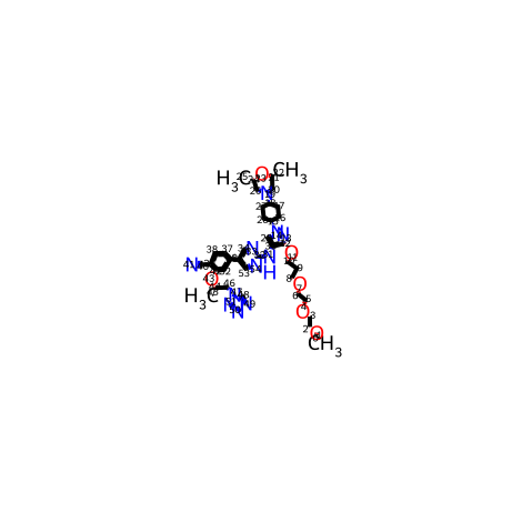 COCCOCCOCCCOc1nn([C@H]2CC[C@H](N3C[C@@H](C)O[C@@H](C)C3)CC2)cc1Nc1ncc(-c2ccc(C#N)c(O[C@@H](C)Cn3cnnn3)c2)cn1